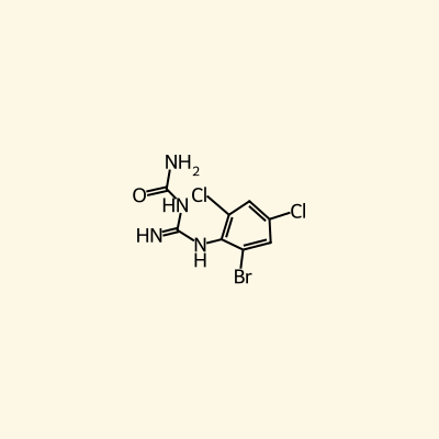 N=C(NC(N)=O)Nc1c(Cl)cc(Cl)cc1Br